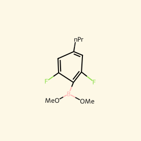 CCCc1cc(F)c(B(OC)OC)c(F)c1